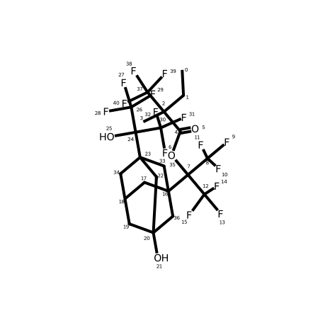 CCC(C)(C(=O)OC(C(F)(F)F)(C(F)(F)F)C12CC3CC(O)(CC(C(O)(C(F)(F)F)C(F)(F)F)(C3)C1)C2)C(F)(F)F